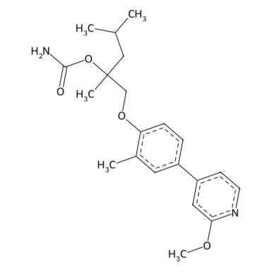 COc1cc(-c2ccc(OCC(C)(CC(C)C)OC(N)=O)c(C)c2)ccn1